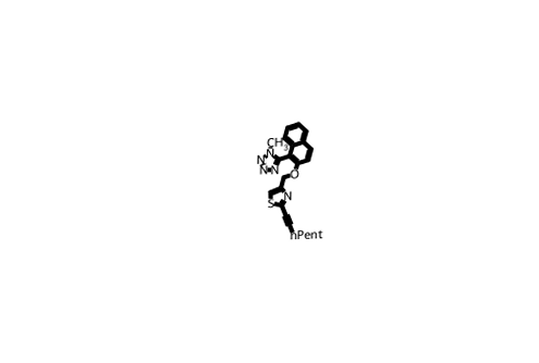 CCCCCC#Cc1nc(COc2ccc3ccccc3c2-c2nnnn2C)cs1